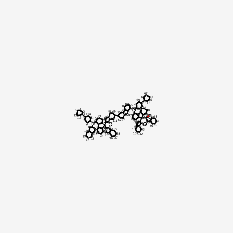 c1ccc(-c2ccc(N(c3ccc4ccccc4c3)c3cccc4c3-c3ccccc3C43c4ccc5ccccc5c4Oc4c3ccc3ccc(-c5ccc6sc7c(N(c8ccc(-c9ccccc9)cc8)c8cccc9c8-c8ccccc8C98c9ccc%10ccccc%10c9Oc9c8ccc8ccccc98)cccc7c6c5)cc43)cc2)cc1